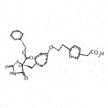 O=C(O)Cc1ccc(CCOc2ccc(C[C@]3(C(=O)OCc4ccccc4)SC(=O)NC3=O)cc2)nc1